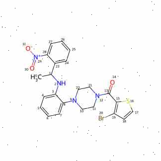 CC(Nc1ccccc1N1CCN(C(=O)c2sccc2Br)CC1)c1ccccc1[N+](=O)[O-]